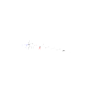 C=CCCCCCCCC(=O)OCCC(C)(C)NC